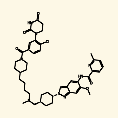 COc1cc2nn([C@H]3CC[C@H](CN(C)CCCCC4CCN(C(=O)c5ccc(Cl)c(N6CCC(=O)NC6=O)c5)CC4)CC3)cc2cc1NC(=O)c1cccc(C)n1